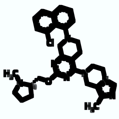 Cc1ncn2c1CN(c1nc(OC[C@@H]3CCCN3C)nc3c1CCN(c1cccc4cccc(Cl)c14)C3)CC2